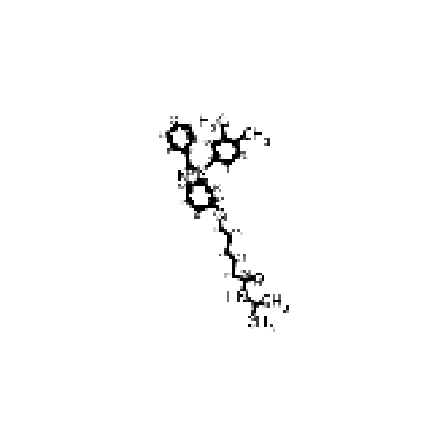 Cc1ccc(-n2c(-c3ccccc3)nc3ccc(OCCCCCC(=O)NC(C)C)cc32)cc1C